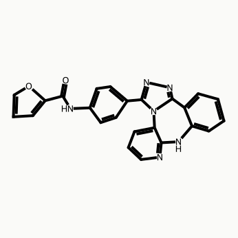 O=C(Nc1ccc(-c2nnc3n2-c2cccnc2Nc2ccccc2-3)cc1)c1ccco1